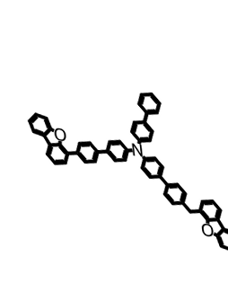 c1ccc(-c2ccc(N(c3ccc(-c4ccc(Cc5cccc6c5oc5ccccc56)cc4)cc3)c3ccc(-c4ccc(-c5cccc6c5oc5ccccc56)cc4)cc3)cc2)cc1